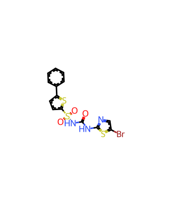 O=C(Nc1ncc(Br)s1)NS(=O)(=O)c1ccc(-c2ccccc2)s1